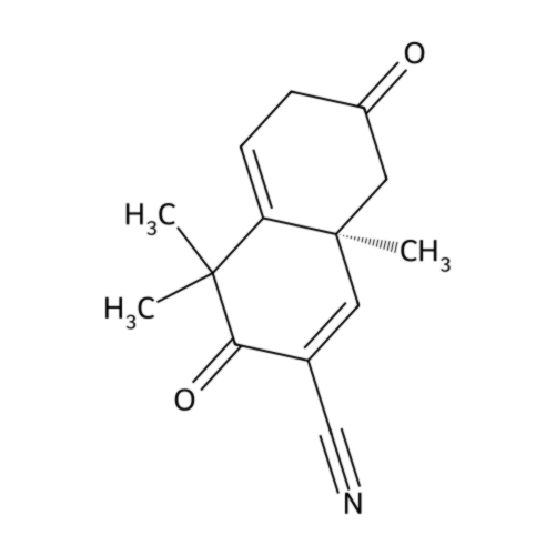 CC1(C)C(=O)C(C#N)=C[C@]2(C)CC(=O)CC=C12